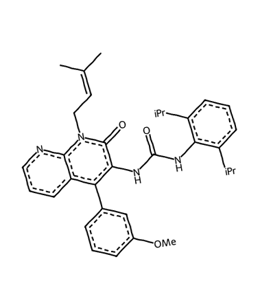 COc1cccc(-c2c(NC(=O)Nc3c(C(C)C)cccc3C(C)C)c(=O)n(CC=C(C)C)c3ncccc23)c1